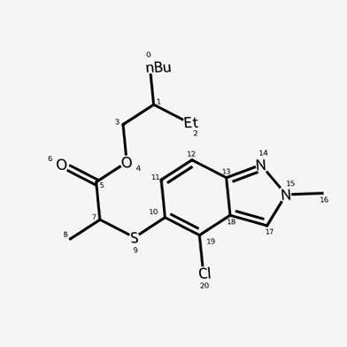 CCCCC(CC)COC(=O)C(C)Sc1ccc2nn(C)cc2c1Cl